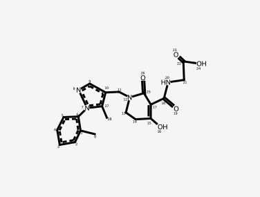 Cc1ccccc1-n1ncc(CN2CCC(O)=C(C(=O)NCC(=O)O)C2=O)c1C